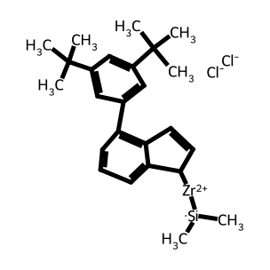 C[Si](C)[Zr+2][CH]1C=Cc2c(-c3cc(C(C)(C)C)cc(C(C)(C)C)c3)cccc21.[Cl-].[Cl-]